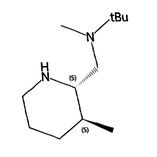 C[C@H]1CCCN[C@@H]1CN(C)C(C)(C)C